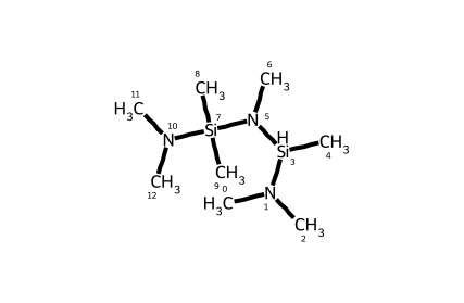 CN(C)[SiH](C)N(C)[Si](C)(C)N(C)C